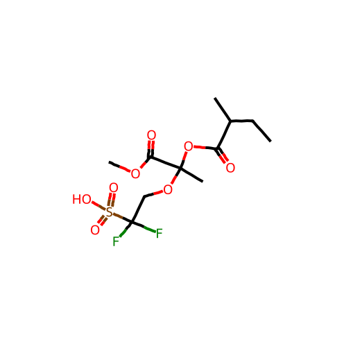 CCC(C)C(=O)OC(C)(OCC(F)(F)S(=O)(=O)O)C(=O)OC